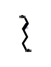 [CH2]CCC/C=C/CCCCCC